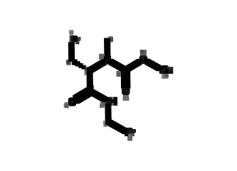 CC(C)CNC(=O)[C@H](CC(C)C)N(C)C(=O)OC(C)(C)C